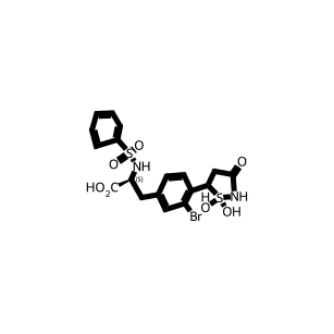 O=C1CC(c2ccc(C[C@H](NS(=O)(=O)c3ccccc3)C(=O)O)cc2Br)S(O)(O)N1